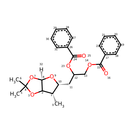 C[C@@H]1C2OC(C)(C)O[C@H]2O[C@@H]1CC(COC(=O)c1ccccc1)OC(=O)c1ccccc1